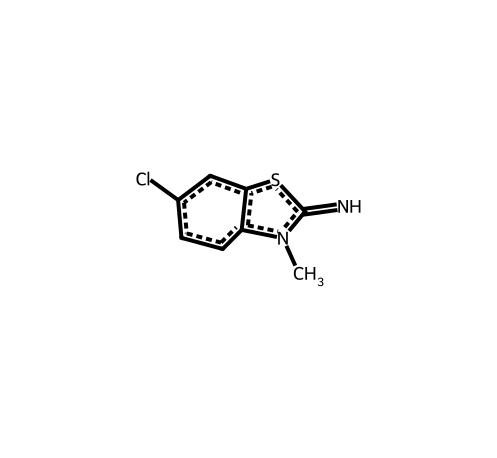 Cn1c(=N)sc2cc(Cl)ccc21